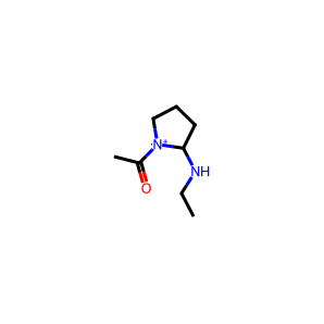 CCNC1CCC[N+]1C(C)=O